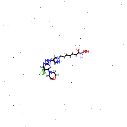 O=C(CCCCCCn1cc(Nc2ncc(Cl)c(N3CCOCC3)n2)cn1)NO